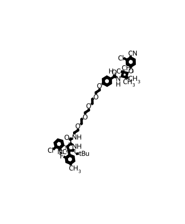 Cc1ccc([C@@]2(C#N)[C@H](c3cccc(Cl)c3F)[C@@H](C(=O)NCCOCCOCCOCCOCCOc3ccc(C(=O)N[C@H]4C(C)(C)[C@H](Oc5ccc(C#N)c(Cl)c5)C4(C)C)cc3)N[C@@H]2CC(C)(C)C)c(F)c1